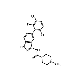 Cc1ccc(Cl)c(-c2ccc3[nH]nc(NC(=O)C4CCN(C)CC4)c3c2)c1F